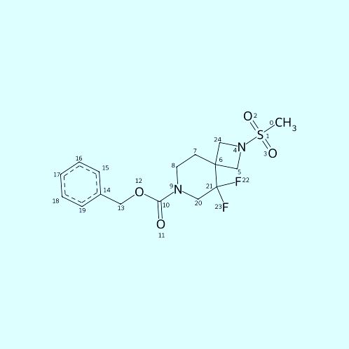 CS(=O)(=O)N1CC2(CCN(C(=O)OCc3ccccc3)CC2(F)F)C1